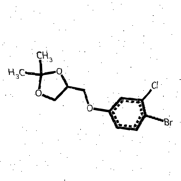 CC1(C)OCC(COc2ccc(Br)c(Cl)c2)O1